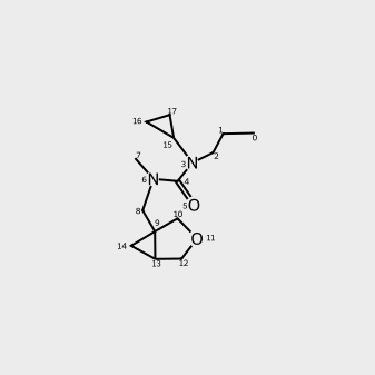 CCCN(C(=O)N(C)CC12COCC1C2)C1CC1